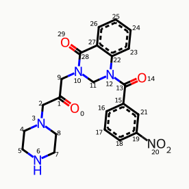 O=C(CN1CCNCC1)CN1CN(C(=O)c2cccc([N+](=O)[O-])c2)c2ccccc2C1=O